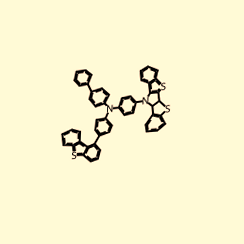 c1ccc(-c2ccc(N(c3ccc(-c4cccc5sc6ccccc6c45)cc3)c3ccc(N4c5c(sc6ccccc56)C5Sc6ccccc6C54)cc3)cc2)cc1